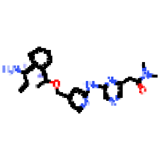 C=C/C(N)=c1/cccc/c1=C(/C)OCc1ccnc(Nc2cncc(CC(=O)N(C)C)n2)c1